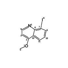 COc1ccnc2c(I)cccc12